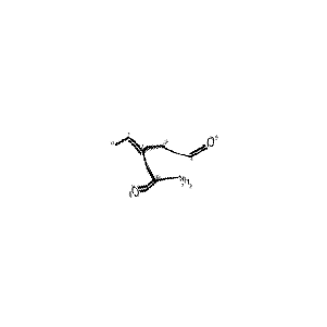 CC=C(CC=O)C(N)=O